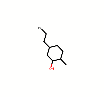 CC(C)CCC1CCC(C)C(O)C1